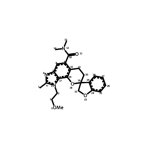 COCCn1c(C)nc2cc(C(=O)N(C)C)c3c(c21)OC1(CC3)COc2ccccc21